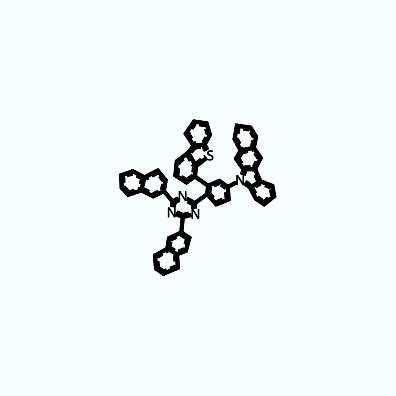 c1ccc2cc(-c3nc(-c4ccc5ccccc5c4)nc(-c4ccc(-n5c6ccccc6c6cc7ccccc7cc65)cc4-c4cccc5c4sc4ccccc45)n3)ccc2c1